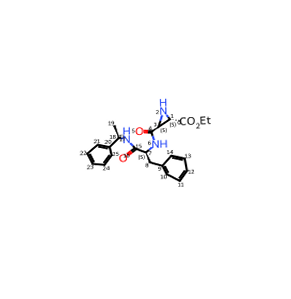 CCOC(=O)[C@H]1N[C@@H]1C(=O)N[C@@H](Cc1ccccc1)C(=O)N[C@H](C)c1ccccc1